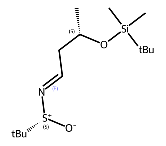 C[C@@H](C/C=N/[S@+]([O-])C(C)(C)C)O[Si](C)(C)C(C)(C)C